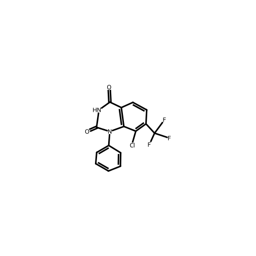 O=c1[nH]c(=O)n(-c2ccccc2)c2c(Cl)c(C(F)(F)F)ccc12